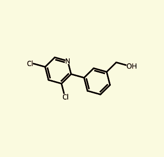 OCc1cccc(-c2ncc(Cl)cc2Cl)c1